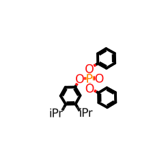 CC(C)c1ccc(OP(=O)(Oc2ccccc2)Oc2ccccc2)cc1C(C)C